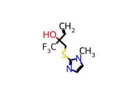 C=CC(O)(CSc1nccn1C)C(F)(F)F